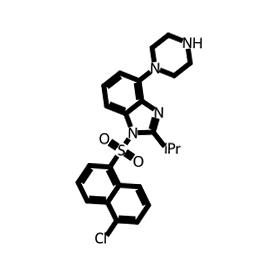 CC(C)c1nc2c(N3CCNCC3)cccc2n1S(=O)(=O)c1cccc2c(Cl)cccc12